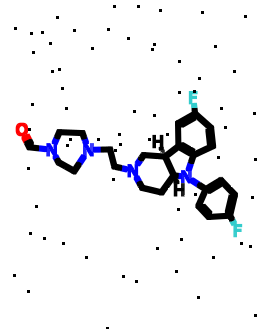 O=CN1CCN(CCN2CC[C@@H]3[C@@H](C2)c2cc(F)ccc2N3c2ccc(F)cc2)CC1